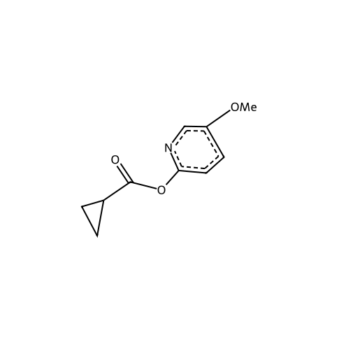 COc1ccc(OC(=O)C2CC2)nc1